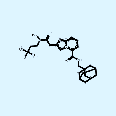 CN(CCC(C)(C)O)C(=O)Cc1cn2c(C(=O)NCC34CC5CC(CC(C5)C3)C4)cccc2n1